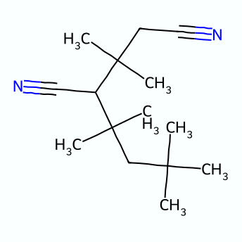 CC(C)(C)CC(C)(C)C(C#N)C(C)(C)CC#N